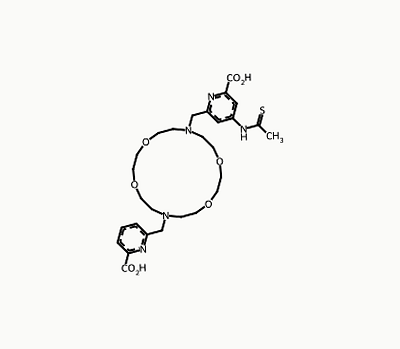 CC(=S)Nc1cc(CN2CCOCCOCCN(Cc3cccc(C(=O)O)n3)CCOCCOCC2)nc(C(=O)O)c1